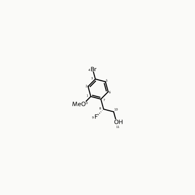 COc1cc(Br)ccc1[C@@H](F)CO